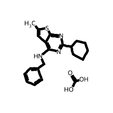 Cc1cc2c(NCc3ccccc3)nc(C3CCCCC3)nc2s1.O=C(O)O